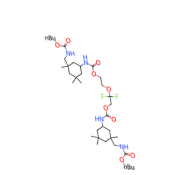 CCCCOC(=O)NCC1(C)CC(NC(=O)OCCOC(F)(F)COC(=O)NC2CC(C)(C)CC(C)(CNC(=O)OCCCC)C2)CC(C)(C)C1